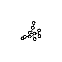 c1ccc(-c2ccc(-n3c4ccccc4c4c(N(c5ccccc5)c5ccc(-c6ccc7ccccc7c6)cc5)cc(N(c5ccccc5)c5ccccc5)cc43)cc2)cc1